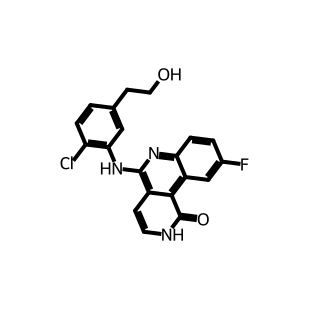 O=c1[nH]ccc2c(Nc3cc(CCO)ccc3Cl)nc3ccc(F)cc3c12